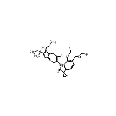 CC(C)(CO)c1cc2c(n1CCO)=CC(F)=C(NC(=O)C1(c3ccc(COCF)c(OCF)c3)CC1)CC=2